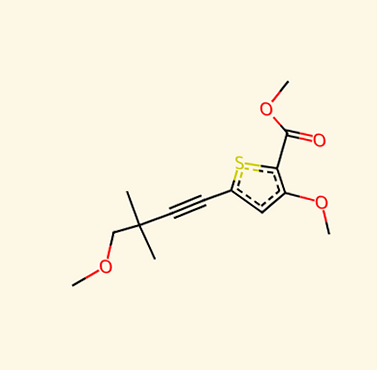 COCC(C)(C)C#Cc1cc(OC)c(C(=O)OC)s1